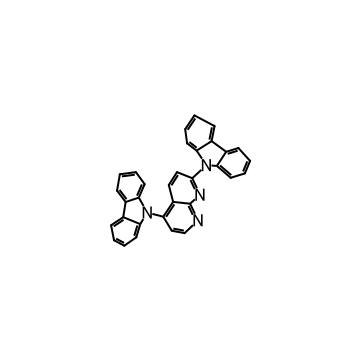 c1ccc2c(c1)c1ccccc1n2-c1ccc2c(-n3c4ccccc4c4ccccc43)ccnc2n1